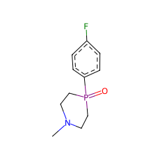 CN1CCP(=O)(c2ccc(F)cc2)CC1